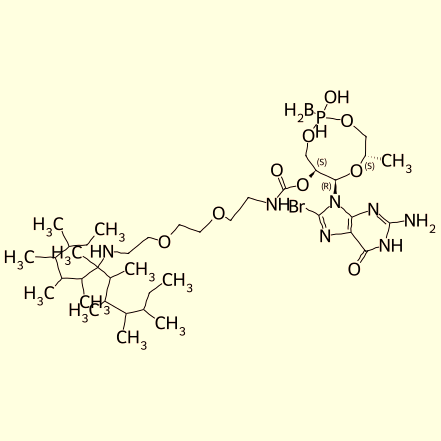 B[PH]1(O)OC[C@H](OC(=O)NCCOCCOCCNC(C)(C(C)C(C)C(C)C(C)CC)C(C)C(C)C(C)C(C)CC)[C@H](n2c(Br)nc3c(=O)[nH]c(N)nc32)O[C@@H](C)CO1